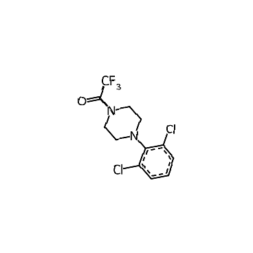 O=C(N1CCN(c2c(Cl)cccc2Cl)CC1)C(F)(F)F